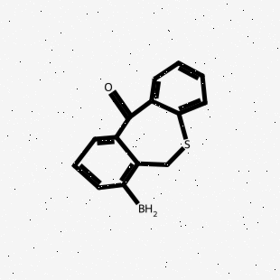 Bc1cccc2c1CSc1ccccc1C2=O